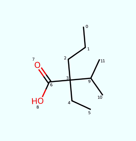 CCCC(CC)(C(=O)O)C(C)C